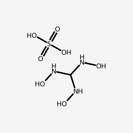 O=S(=O)(O)O.ONC(NO)NO